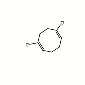 Cl/C1=C/CC/C=C(/Cl)CC1